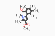 COC(=O)c1cc(-c2c(C)c(C)c(C)c(C)c2C=O)n(C)c1C